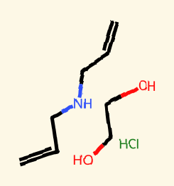 C=CCNCC=C.Cl.OCCO